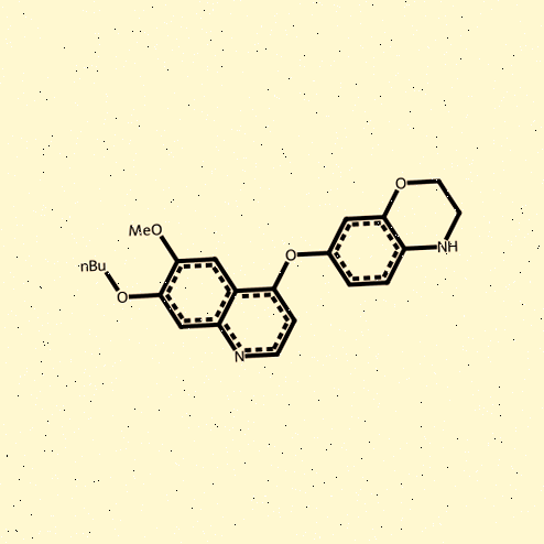 CCCCOc1cc2nccc(Oc3ccc4c(c3)OCCN4)c2cc1OC